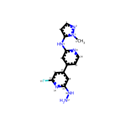 Cn1nccc1Nc1cc(-c2cc(F)nc(NN)c2)ccn1